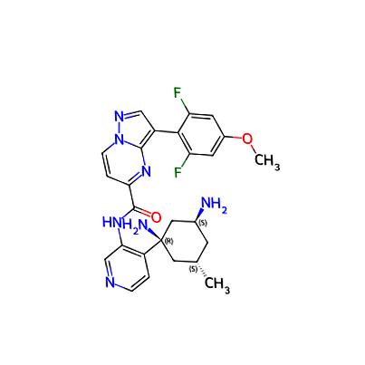 COc1cc(F)c(-c2cnn3ccc(C(=O)Nc4cnccc4[C@@]4(N)C[C@@H](C)C[C@H](N)C4)nc23)c(F)c1